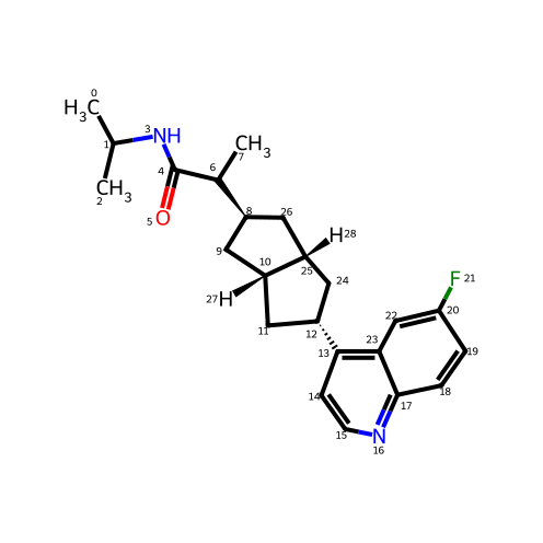 CC(C)NC(=O)C(C)[C@@H]1C[C@H]2C[C@@H](c3ccnc4ccc(F)cc34)C[C@H]2C1